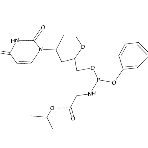 COC(COP(NCC(=O)OC(C)C)Oc1ccccc1)CC(C)n1ccc(=O)[nH]c1=O